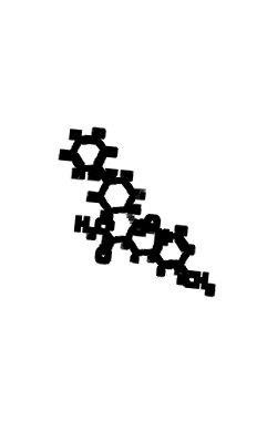 CC(=O)C(Cc1cc(C)ccn1)C(=O)[C@H]1CC[C@H](c2ccccc2)CC1